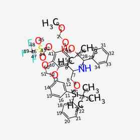 COCOc1cc(C(CO[Si](c2ccccc2)(c2ccccc2)C(C)(C)C)N[C@H](c2ccccc2)C(C)(C)O)c2c(c1OS(=O)(=O)C(F)(F)F)OCO2